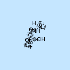 CC1CCCCN1CCCNC(=O)c1ccc2c(c1)C(=O)N(Cc1ccccc1F)C2=O.Cl